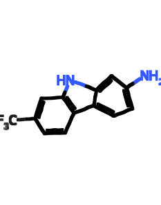 Nc1ccc2c(c1)[nH]c1cc(C(F)(F)F)ccc12